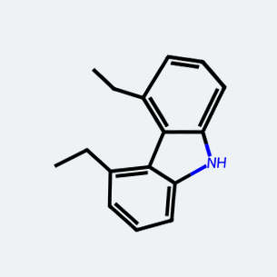 CCc1cccc2[nH]c3cccc(CC)c3c12